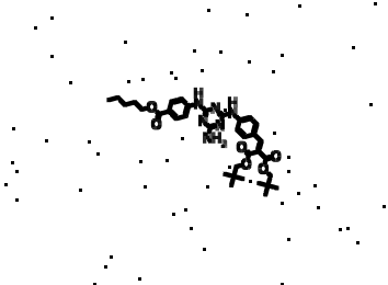 CCCCCOC(=O)c1ccc(Nc2nc(N)nc(Nc3ccc(C=C(C(=O)OCC(C)(C)C)C(=O)OCC(C)(C)C)cc3)n2)cc1